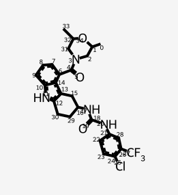 CC1CN(C(=O)c2cccc3[nH]c4c(c23)CC(NC(=O)Nc2ccc(Cl)c(C(F)(F)F)c2)CC4)CC(C)O1